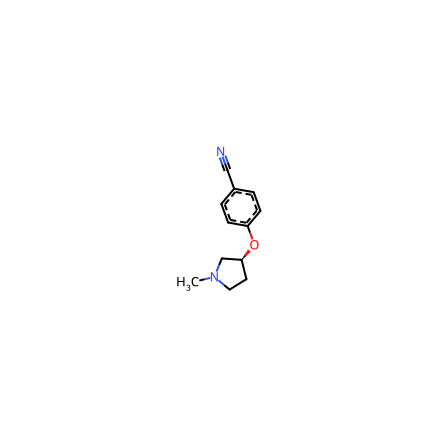 CN1CC[C@H](Oc2ccc(C#N)cc2)C1